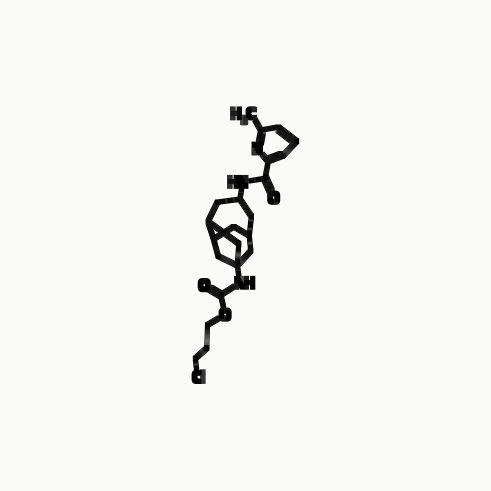 Cc1cccc(C(=O)NC2CC3CC4CC(NC(=O)OCCCCl)(C3)CC4C2)n1